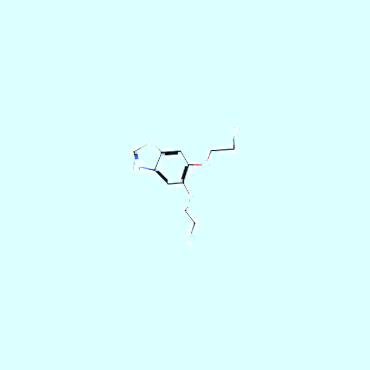 ClCCOc1cc2ncsc2cc1OCCCl